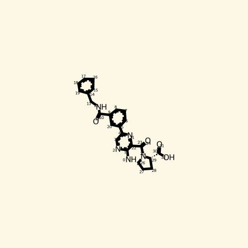 Nc1ncc(-c2cccc(C(=O)NCc3ccccc3)c2)nc1C(=O)N1CCC[C@H]1C(=O)O